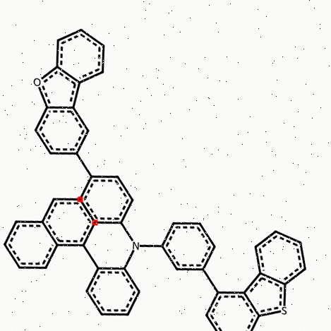 c1cc(-c2cccc3sc4ccccc4c23)cc(N(c2ccc(-c3ccc4oc5ccccc5c4c3)cc2)c2ccccc2-c2cccc3ccccc23)c1